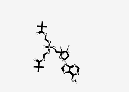 CC(C)(C)C(=O)OCOP(=O)(OCOC(=O)C(C)(C)C)OC[C@@]1(F)O[C@@H](n2cnc3c(N)ncnc32)C[C@@H]1F